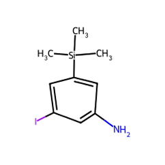 C[Si](C)(C)c1cc(N)cc(I)c1